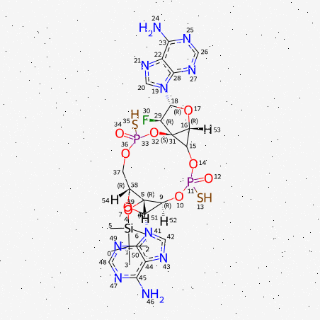 CC(C)(C)[Si](C)(C)O[C@H]1[C@H]2OP(=O)(S)OC3[C@H]4O[C@@H](n5cnc6c(N)ncnc65)[C@H](F)[C@@]34OP(=O)(S)OC[C@H]1O[C@H]2n1cnc2c(N)ncnc21